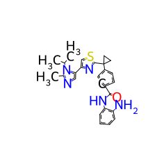 Cc1ncc(-c2csc(C3(c4ccc(C(=O)Nc5ccccc5N)cc4)CC3)n2)n1C(C)C